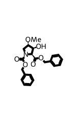 CO[C@H]1CN(C(=O)OCc2ccccc2)[C@H](C(=O)OCc2ccccc2)[C@@H]1O